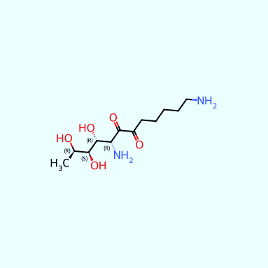 C[C@@H](O)[C@H](O)[C@H](O)[C@@H](N)C(=O)C(=O)CCCCCN